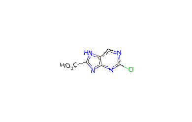 O=C(O)c1nc2nc(Cl)ncc2[nH]1